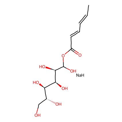 C/C=C/C=C/C(=O)OC(O)[C@H](O)[C@@H](O)[C@H](O)[C@H](O)CO.[NaH]